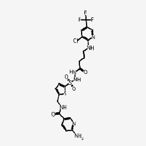 Nc1ccc(C(=O)NCc2ccc(S(=O)(=O)NNC(=O)CCCNc3ncc(C(F)(F)F)cc3Cl)s2)cn1